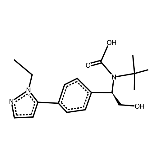 CCn1nccc1-c1ccc([C@H](CO)N(C(=O)O)C(C)(C)C)cc1